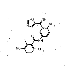 Cc1ccc(C#N)c(F)c1C(=O)Nc1ccc(N)c(C(=N)c2cnco2)c1